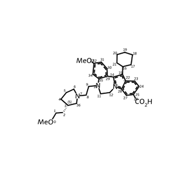 COCC[C@@H]1CCCN(CCN2CCn3c(c(C4CCCCC4)c4ccc(C(=O)O)cc43)-c3ccc(OC)cc32)C1